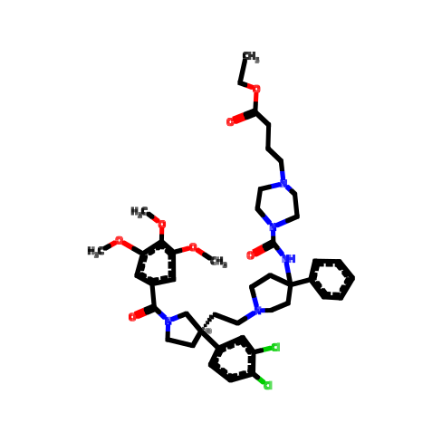 CCOC(=O)CCCN1CCN(C(=O)NC2(c3ccccc3)CCN(CC[C@]3(c4ccc(Cl)c(Cl)c4)CCN(C(=O)c4cc(OC)c(OC)c(OC)c4)C3)CC2)CC1